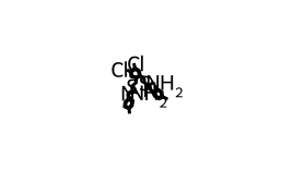 Cc1ccc(/N=C(\N)SCc2cc(Cl)c(Cl)cc2CS/C(N)=N/c2ccc(C)cc2)cc1